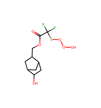 O=C(OCC1CC2CC1CC2O)C(F)(F)SOOO